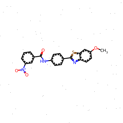 COc1ccc2nc(-c3ccc(NC(=O)c4cccc([N+](=O)[O-])c4)cc3)sc2c1